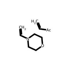 C=CC(C)=O.C=CN1CCOCC1